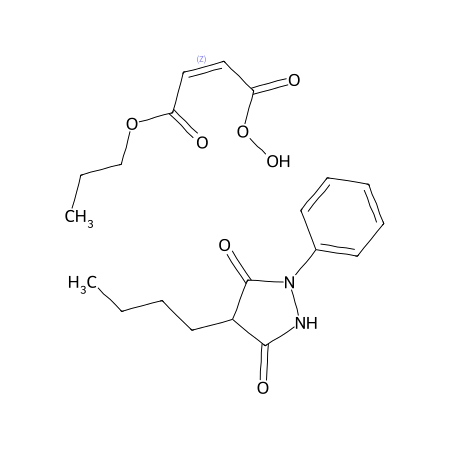 CCCCC1C(=O)NN(c2ccccc2)C1=O.CCCOC(=O)/C=C\C(=O)OO